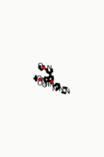 CN1CCN(c2ccc(Nc3ccc(-c4ccnc(C5CCOC5)c4)c4c3C(=O)N(C(=O)OC(C)(C)C)C4)nc2)CC1